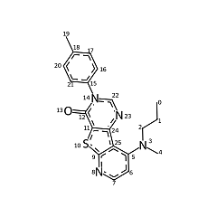 CCCN(C)c1ccnc2sc3c(=O)n(-c4ccc(C)cc4)cnc3c12